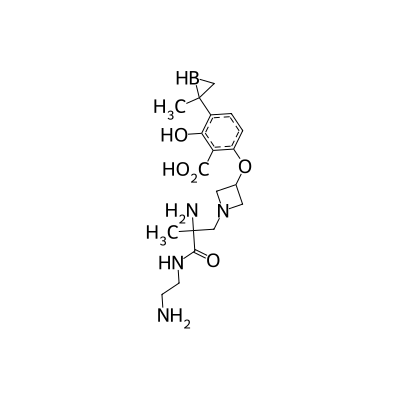 CC(N)(CN1CC(Oc2ccc(C3(C)BC3)c(O)c2C(=O)O)C1)C(=O)NCCN